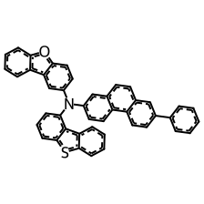 c1ccc(-c2ccc3c(ccc4cc(N(c5ccc6oc7ccccc7c6c5)c5cccc6sc7ccccc7c56)ccc43)c2)cc1